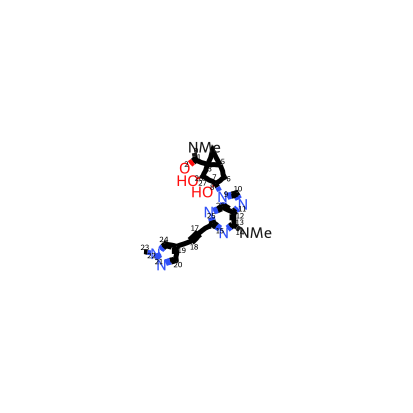 CNC(=O)C12CC1C[C@@](O)(n1cnc3c(NC)nc(C#Cc4cnn(C)c4)nc31)[C@@H]2O